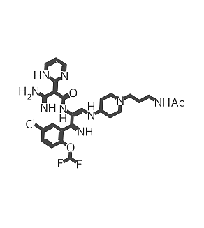 CC(=O)NCCCN1CCC(N/C=C(/NC(=O)/C(C(=N)N)=C2\N=CC=CN2)C(=N)c2cc(Cl)ccc2OC(F)F)CC1